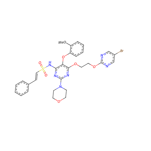 COc1ccccc1Oc1c(NS(=O)(=O)C=Cc2ccccc2)nc(N2CCOCC2)nc1OCCOc1ncc(Br)cn1